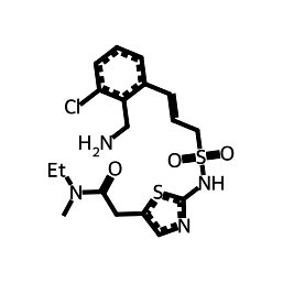 CCN(C)C(=O)Cc1cnc(NS(=O)(=O)CC=Cc2cccc(Cl)c2CN)s1